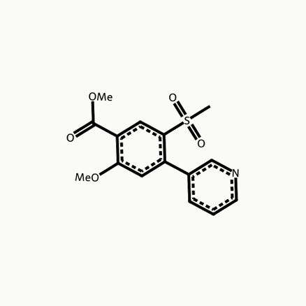 COC(=O)c1cc(S(C)(=O)=O)c(-c2cccnc2)cc1OC